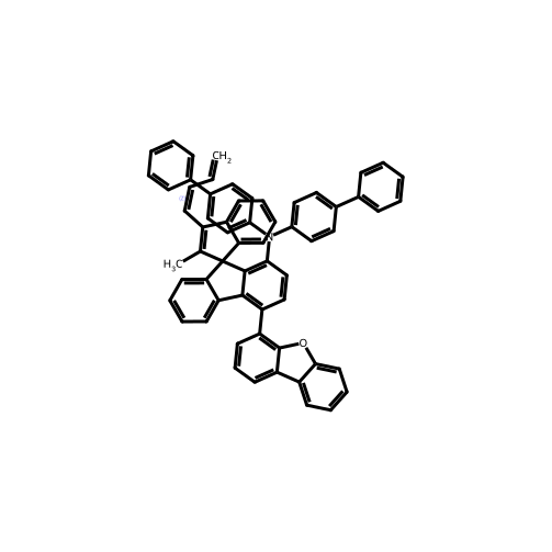 C=C/C=C\C1=C(C)C2(c3ccccc31)c1ccccc1-c1c(-c3cccc4c3oc3ccccc34)ccc(N(c3ccc(-c4ccccc4)cc3)c3ccc(-c4ccccc4)cc3)c12